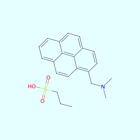 CCCS(=O)(=O)O.CN(C)Cc1ccc2ccc3cccc4ccc1c2c34